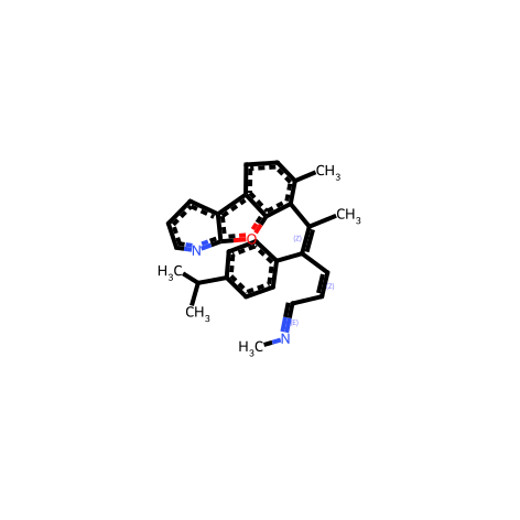 C/N=C/C=C\C(=C(/C)c1c(C)ccc2c1oc1ncccc12)c1ccc(C(C)C)cc1